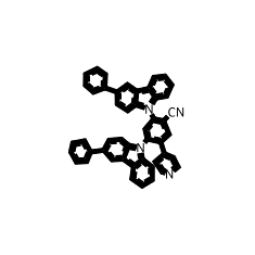 N#Cc1cc(-c2ccncc2)c(-n2c3ccccc3c3cc(-c4ccccc4)ccc32)cc1-n1c2ccccc2c2cc(-c3ccccc3)ccc21